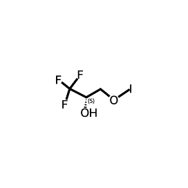 O[C@@H](COI)C(F)(F)F